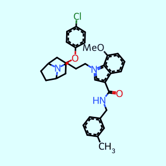 COc1cccc2c(C(=O)NCc3cccc(C)c3)cn(CCCN3C4CCC3CC(Oc3ccc(Cl)cc3)C4)c12